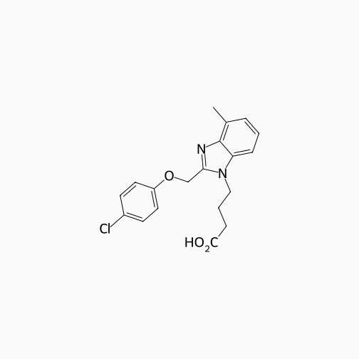 Cc1cccc2c1nc(COc1ccc(Cl)cc1)n2CCCC(=O)O